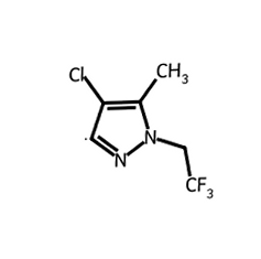 Cc1c(Cl)[c]nn1CC(F)(F)F